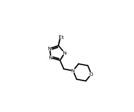 CCC1=NN=C(CN2CCOCC2)[N]1